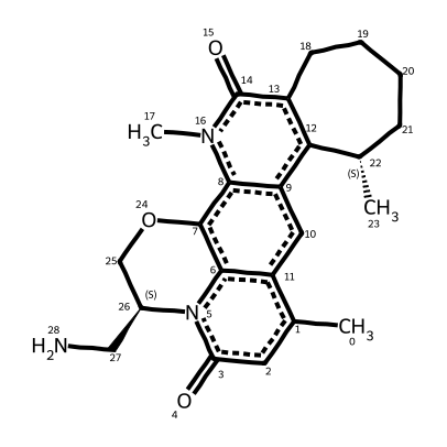 Cc1cc(=O)n2c3c(c4c(cc13)c1c(c(=O)n4C)CCCC[C@@H]1C)OC[C@@H]2CN